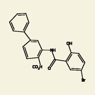 O=C(Nc1cc(-c2ccccc2)ccc1C(=O)O)c1cc(Br)ccc1O